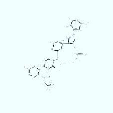 CC1CCCC(n2cnc(-c3cc(Cl)ccc3N(N)/C=C(\N)C(F)(F)F)cc2=O)c2cc(ccn2)-c2nn(-c3cc(O)ncc3F)cc2NC1=O